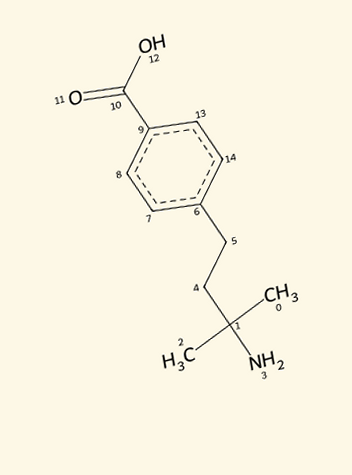 CC(C)(N)CCc1ccc(C(=O)O)cc1